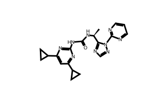 C[C@H](NC(=O)Nc1nc(C2CC2)cc(C2CC2)n1)c1ncnn1-c1ncccn1